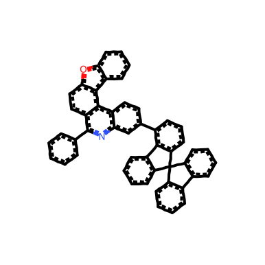 c1ccc(-c2nc3cc(-c4cccc5c4-c4ccccc4C54c5ccccc5-c5ccccc54)ccc3c3c2ccc2oc4ccccc4c23)cc1